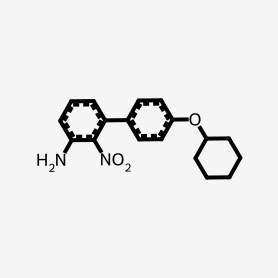 Nc1cccc(-c2ccc(OC3CCCCC3)cc2)c1[N+](=O)[O-]